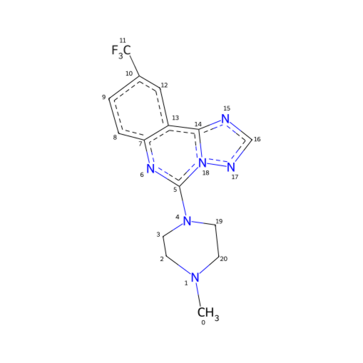 CN1CCN(c2nc3ccc(C(F)(F)F)cc3c3ncnn23)CC1